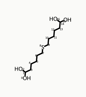 OC(O)CCCCCSCCCCCC(O)O